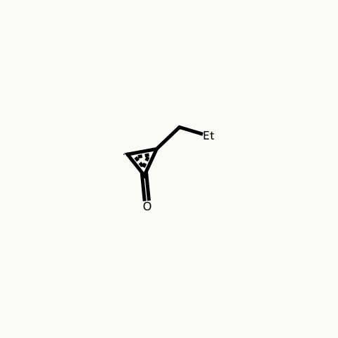 CCCc1[c]c1=O